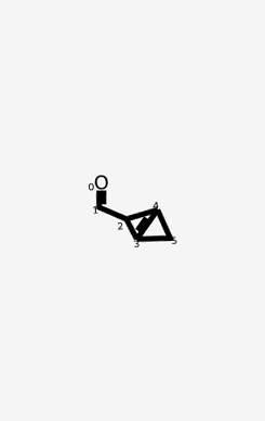 O=CC1C2=C1C2